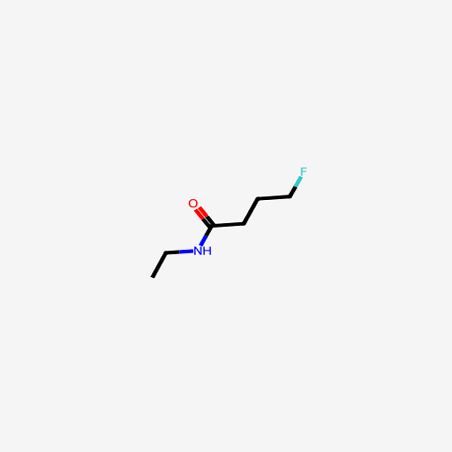 CCNC(=O)CCCF